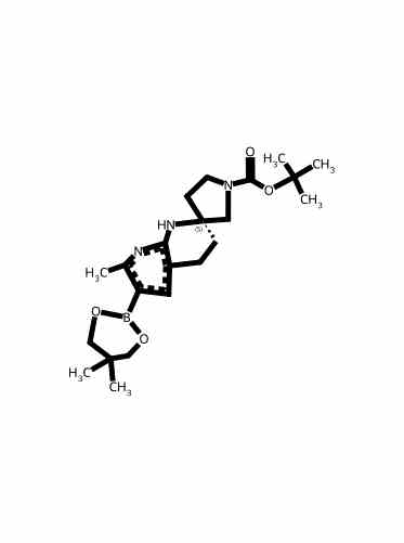 Cc1nc2c(cc1B1OCC(C)(C)CO1)CC[C@@]1(CCN(C(=O)OC(C)(C)C)C1)N2